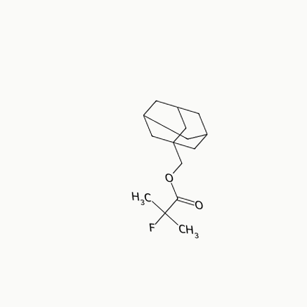 CC(C)(F)C(=O)OCC12CC3CC(CC(C3)C1)C2